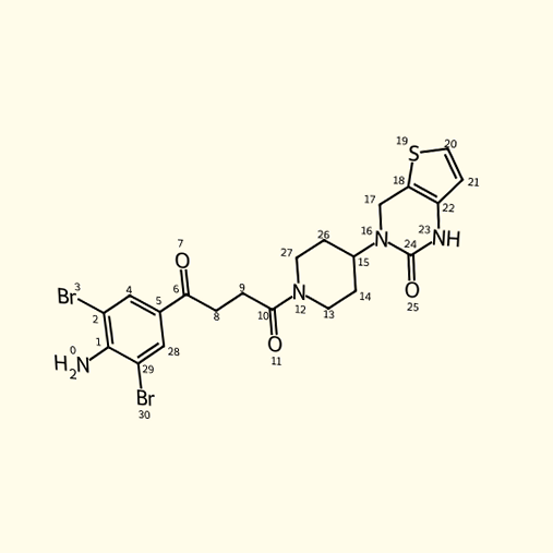 Nc1c(Br)cc(C(=O)CCC(=O)N2CCC(N3Cc4sccc4NC3=O)CC2)cc1Br